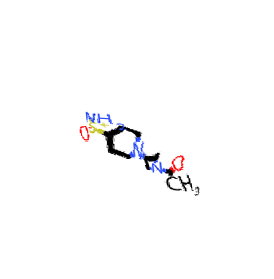 CC(=O)N1CC(N2CCC([S+](N)[O-])CC2)C1